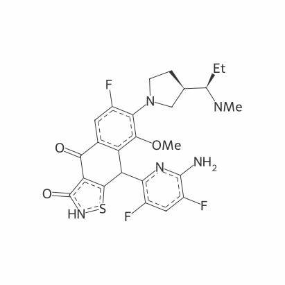 CC[C@@H](NC)[C@@H]1CCN(c2c(F)cc3c(c2OC)C(c2nc(N)c(F)cc2F)c2s[nH]c(=O)c2C3=O)C1